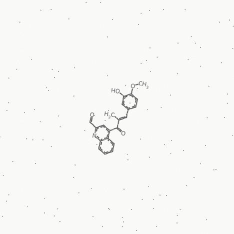 COc1ccc(/C=C(\C)C(=O)c2cc(C=O)nc3ccccc23)cc1O